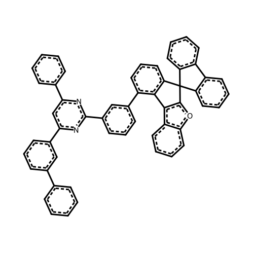 c1ccc(-c2cccc(-c3cc(-c4ccccc4)nc(-c4cccc(-c5cccc6c5-c5c(oc7ccccc57)C65c6ccccc6-c6ccccc65)c4)n3)c2)cc1